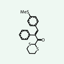 CSc1ccc(C=C(C(=O)C2SCCCS2)c2ccccc2)cc1